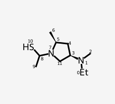 CCN(C)[C@@H]1C[C@H](C)N(C(C)S)C1